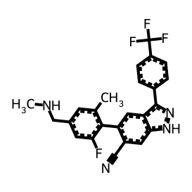 CNCc1cc(C)c(-c2cc3c(-c4ccc(C(F)(F)F)cc4)n[nH]c3cc2C#N)c(F)c1